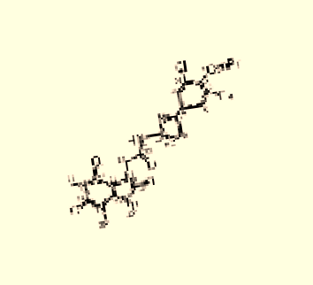 CCCOc1c(F)cc(-c2csc(NC(=O)Cn3c(=O)n(C)c4c3c(=O)n(C)c(=O)n4C)n2)cc1Cl